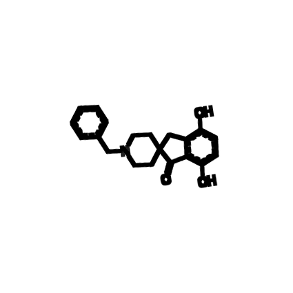 O=C1c2c(O)ccc(O)c2CC12CCN(Cc1ccccc1)CC2